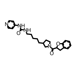 O=C(NCCCCCC1CCN(C(=O)C2Cc3ccccc3O2)C1)Nc1ccncc1